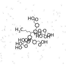 CCCCCC(c1ccc(O[C@]2(O)CO[C@H](CO)[C@@H](O)[C@@H]2O)c(-c2cccc(CC(=O)O)c2)c1)c1ccc(O[C@]2(O)CO[C@H](CO)[C@@H](O)[C@@H]2O)c(-c2cccc(CC(=O)O)c2)c1